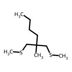 CCCCC(C)(CSC)CSC